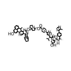 Cc1ncsc1-c1ccc([C@H](C)NC(=O)[C@@H]2C[C@@H](O)CN2C(=O)[C@@H](c2cc(N3CCN(C(=O)OC[C@@H]4CC[C@]5(COc6nc(N7CC8CCC(C7)N8)c7cnc8c(c7n6)C(C)c6cccc7cc(O)cc-8c67)CCCN45)CC3)no2)C(C)C)cc1